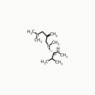 C=C(CN(C)C)CN(C)C[C@H](NC)C(C)C